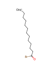 O=CCCCCCCCCCCCC(=O)Br